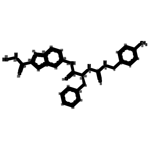 Cc1ccc(CNC(=O)N[C@@H](Cc2ccccc2)C(=O)Nc2ccc3sc(C(=O)NO)cc3c2)cc1